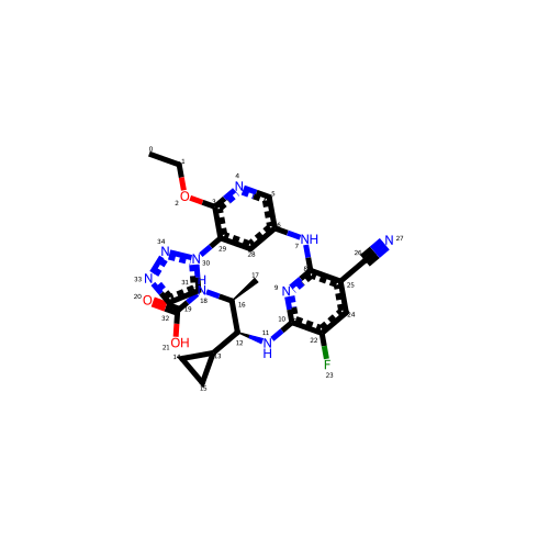 CCOc1ncc(Nc2nc(N[C@@H](C3CC3)[C@H](C)NC(=O)O)c(F)cc2C#N)cc1-n1ccnn1